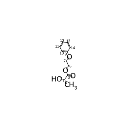 C[C@H](O)C(=O)OCCOc1ccccc1